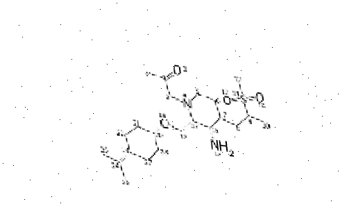 CC(=O)CN1CCC(CC(C)S(C)(=O)=O)[C@H](N)[C@@H]1CO[C@H]1CC[C@@H](C(C)C)CC1